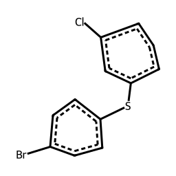 Clc1cccc(Sc2ccc(Br)cc2)c1